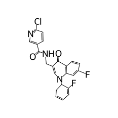 O=C(NCc1cn(C2CC=CC=C2F)c2cc(F)ccc2c1=O)c1ccc(Cl)nc1